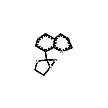 c1cnc2c(C34NN3CCO4)cccc2c1